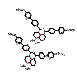 CCCCCCCCCc1ccc(-c2ccc(C(OC(c3ccc(-c4ccc(CCCCCCCCC)cn4)cc3)[C@H]3CC[C@H](CCC)CC3)[C@H]3CC[C@H](CCC)CC3)cc2)nc1.CCCCCCCCCc1ccc(-c2ccc(C(OC(c3ccc(-c4ccc(CCCCCCCCC)cn4)cc3)[C@H]3CC[C@H](CCCC)CC3)[C@H]3CC[C@H](CCCC)CC3)cc2)nc1